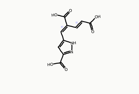 O=C(O)/C=C/C(=C\c1cc(C(=O)O)n[nH]1)C(=O)O